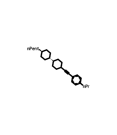 CCCCC[C@H]1CC[C@H](C2CCC(C#Cc3ccc(CCC)cc3)CC2)CC1